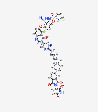 N#Cc1c(NS(=O)(=O)N2CC[C@@H](F)C2)ccc(F)c1Oc1ccc2ncn(-c3cnc(N4CC5(CN(CC6CCN(c7ccc8c(c7)C(=O)N(C7CCC(=O)NC7=O)C8=O)CC6)C5)C4)nc3)c(=O)c2c1